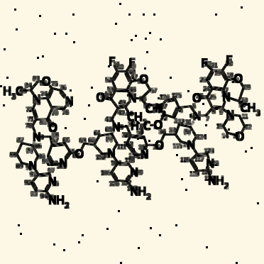 COc1cc(CN(Cc2c(N3CCOCC3)n3c4c(c(F)c(F)cc4c2=O)OCC3C)[C@H]2CC(COc3cc(CN(Cc4c(C)n5c6c(c(F)c(F)cc6c4=O)OCC5C)[C@H]4CC(COc5cc(CN(Cc6cn7c8c(cncc8c6=O)OCC7C)[C@H]6CCCN(c7ccc(N)nc7)C6)ccn5)CN(c5ccc(N)nc5)C4)ccn3)CN(c3ccc(N)nc3)C2)ccn1